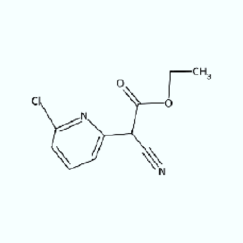 CCOC(=O)C(C#N)c1cccc(Cl)n1